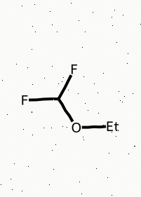 [CH2]COC(F)F